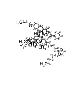 CC#CCOc1ccc(C[C@H](NC(=O)[C@@H](/C=C/CCCCCCC2(CCCCCCC)OCCO2)[C@@](O)(CCO[Si](C)(C)C(C)(C)C)C(=O)OC(C)(C)C)C(=O)OCC(=O)c2ccccc2)cc1